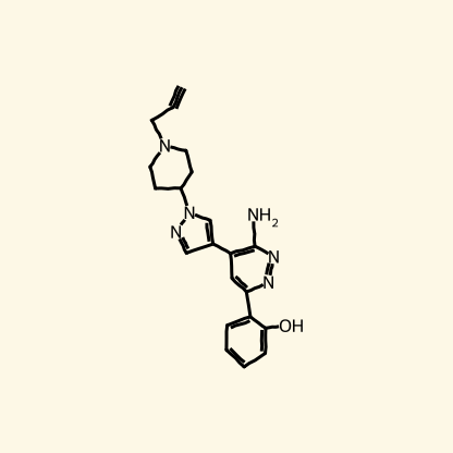 C#CCN1CCC(n2cc(-c3cc(-c4ccccc4O)nnc3N)cn2)CC1